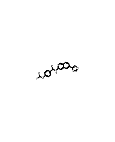 O=C(Nc1cc2cc(-c3nncs3)ccc2cn1)c1ccc(OC(F)F)cc1